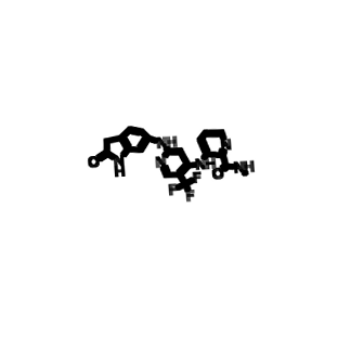 CNC(=O)c1ncccc1Nc1cc(Nc2ccc3c(c2)NC(=O)C3)ncc1C(F)(F)F